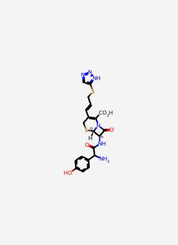 NC(C(=O)N[C@@H]1C(=O)N2C(C(=O)O)=C(C=CCSc3cnn[nH]3)CS[C@@H]12)c1ccc(O)cc1